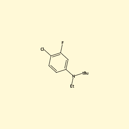 CCN(c1ccc(Cl)c(F)c1)C(C)(C)C